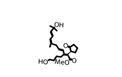 COC(=O)C(=C(/C=C/C/C(C)=C\C=CC(C)(C)O)CCCCO)[C@@H]1CCCC1=O